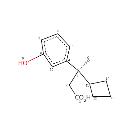 C[C@](CC(=O)O)(c1cccc(O)c1)C1CCC1